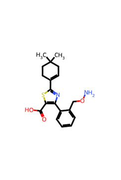 CC1(C)CC=C(c2nc(-c3ccccc3CON)c(C(=O)O)s2)CC1